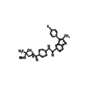 COC(C)(C)CNC(=O)c1ccc(NC(=O)c2ccc3nc(C)n(-c4ccc(F)cc4)c3c2)cc1